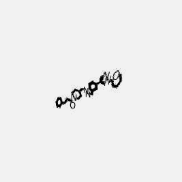 O=C(CCc1ccccc1)N1CCC(Cn2ncc3cc(-c4cnn(C5CCCCO5)c4)ccc32)CC1